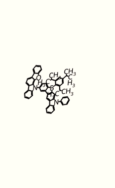 CC(C)c1cc(C(C)C)c(B2c3ccc(-n4c5ccccc5c5ccc6c7ccccc7oc6c54)cc3-c3cc4c5ccccc5n(-c5ccccc5)c4cc32)c(C(C)C)c1